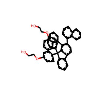 OCCOc1ccc(C2(c3ccc(OCCO)cc3)c3ccccc3-c3ccc(-c4cccc5ccccc45)c(-c4cccc5ccccc45)c32)cc1